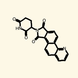 O=C1CCC(N2C(=O)c3ccc4c(ccc5cccnc54)c3C2=O)C(=O)N1